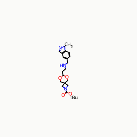 Cn1ncc2cc(CNCCC3OCC4(CO3)CN(C(=O)OC(C)(C)C)C4)ccc21